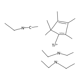 CC1=C(C)C(C)(C)[C]([Ti+3])=C1C.CC[N-]CC.CC[N-]CC.CC[N-]CC